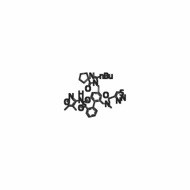 CCCCC1=NC2(CCCC2)C(=O)N1Cc1ccc(-c2ccccc2S(=O)(=O)Nc2noc(C)c2C)c(CN(C)C(=O)c2csnn2)c1